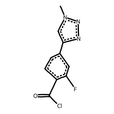 Cn1cc(-c2ccc(C(=O)Cl)c(F)c2)nn1